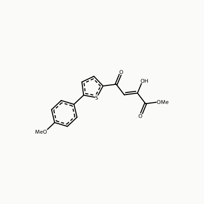 COC(=O)C(O)=CC(=O)c1ccc(-c2ccc(OC)cc2)s1